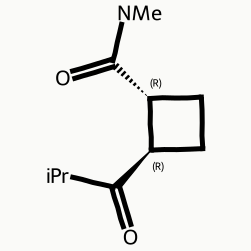 CNC(=O)[C@@H]1CC[C@H]1C(=O)C(C)C